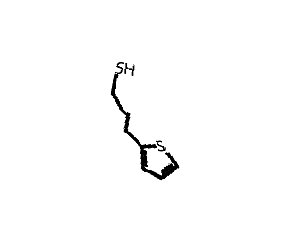 SCCCc1cccs1